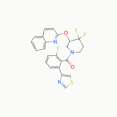 O=C(c1c(F)cccc1-c1cscn1)N1CCC(F)(F)C(Oc2ccc3ccccc3n2)C1